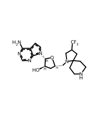 Nc1ncnc2c1ccn2[C@@H]1O[C@H](CN2CC(C(F)(F)F)CC23CCNCC3)C[C@H]1O